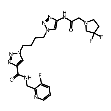 O=C(CN1CCC(F)(F)C1)Nc1cn(CCCCn2cc(C(=O)NCc3ncccc3F)nn2)nn1